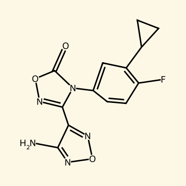 Nc1nonc1-c1noc(=O)n1-c1ccc(F)c(C2CC2)c1